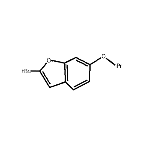 CC(C)Oc1ccc2cc(C(C)(C)C)oc2c1